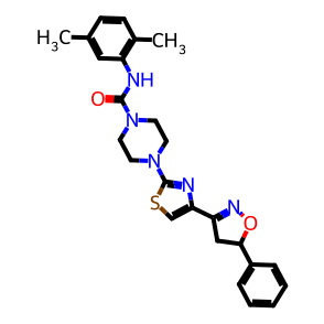 Cc1ccc(C)c(NC(=O)N2CCN(c3nc(C4=NOC(c5ccccc5)C4)cs3)CC2)c1